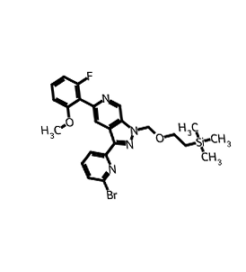 COc1cccc(F)c1-c1cc2c(-c3cccc(Br)n3)nn(COCC[Si](C)(C)C)c2cn1